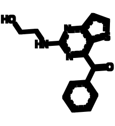 O=C(c1ccccc1)c1nc(NCCO)nc2ccsc12